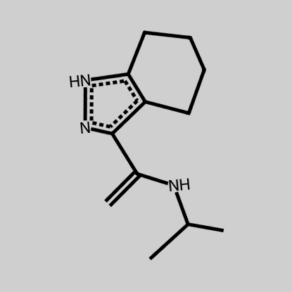 C=C(NC(C)C)c1n[nH]c2c1CCCC2